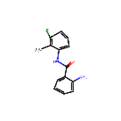 Cc1c(Br)cccc1NC(=O)c1ccccc1N